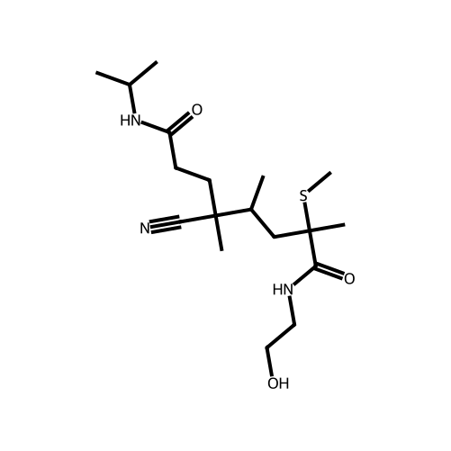 CSC(C)(CC(C)C(C)(C#N)CCC(=O)NC(C)C)C(=O)NCCO